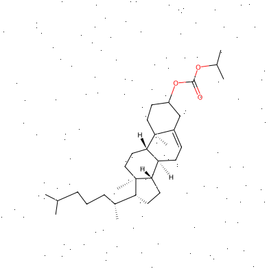 CC(C)CCC[C@@H](C)[C@H]1CC[C@H]2[C@@H]3CC=C4CC(OC(=O)OC(C)C)CC[C@]4(C)[C@H]3CC[C@]12C